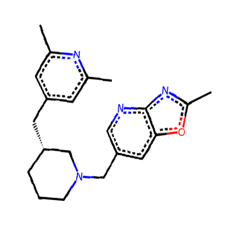 Cc1cc(C[C@H]2CCCN(Cc3cnc4nc(C)oc4c3)C2)cc(C)n1